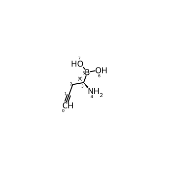 C#CC[C@H](N)B(O)O